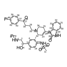 CC(C)NCC(O)c1ccc(NS(C)(=O)=O)cc1.O=C(CCCN1CC=C(n2c(=O)[nH]c3ccccc32)CC1)c1ccc(F)cc1